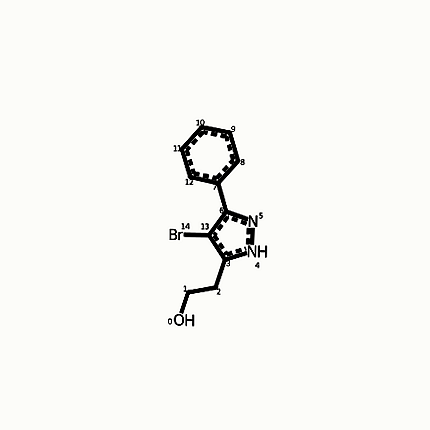 OCCc1[nH]nc(-c2ccccc2)c1Br